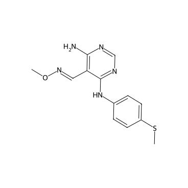 CON=Cc1c(N)ncnc1Nc1ccc(SC)cc1